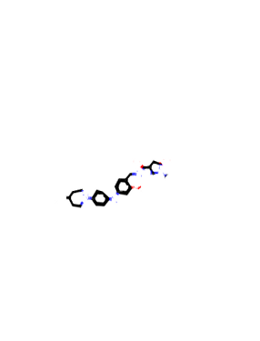 COc1cc(Nc2ccc(N3CCC(C)CC3)cc2)ccc1CNC(=O)C1CC(=O)N(C)C1